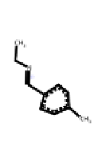 CC/N=C/c1ccc(C)cc1